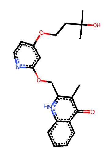 Cc1c(COc2cc(OCCC(C)(C)O)ccn2)[nH]c2ccccc2c1=O